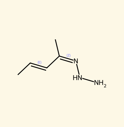 C/C=C/C(C)=N\NN